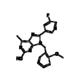 COC1=C(Cn2c(-c3cncc(F)c3)nc3c(C)nc(O)nc32)C=C=C=C1